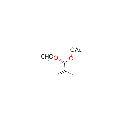 C=C(C)C(=O)OOC(C)=O.CC=O